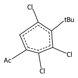 CC(=O)c1cc(Cl)c(C(C)(C)C)c(Cl)c1Cl